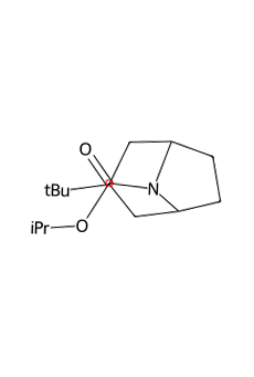 CC(C)OC(=O)N1C2CCC1CC(C(C)(C)C)C2